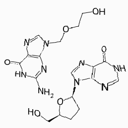 Nc1nc2c(ncn2COCCO)c(=O)[nH]1.O=c1[nH]cnc2c1ncn2[C@H]1CC[C@@H](CO)O1